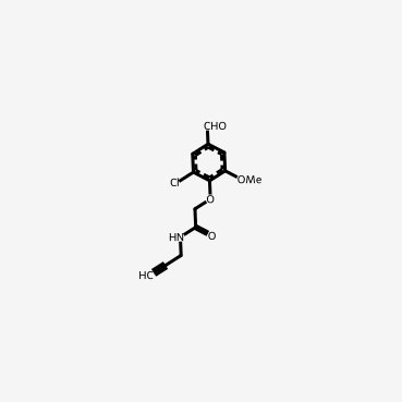 C#CCNC(=O)COc1c(Cl)cc(C=O)cc1OC